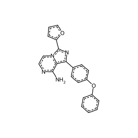 Nc1nccn2c(-c3ccco3)nc(-c3ccc(Oc4ccccc4)cc3)c12